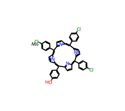 Oc1ccc(-c2c3nc(c(-c4ccc(Cl)cc4)c4ccc([nH]4)c(-c4ccc(Cl)cc4)c4nc(c(-c5ccc(Cl)cc5)c5ccc2[nH]5)C=C4)C=C3)cc1.[Mn]